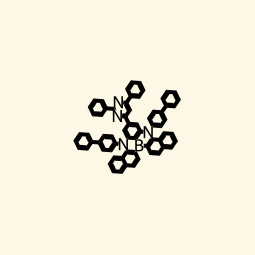 c1ccc(-c2ccc(N3c4cc(-c5cc(-c6ccccc6)nc(-c6ccccc6)n5)cc5c4B(c4ccc6ccccc6c43)c3ccc4ccccc4c3N5c3ccc(-c4ccccc4)cc3)cc2)cc1